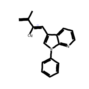 C=C(C)/C(C#N)=C/c1cn(-c2ccccc2)c2ncccc12